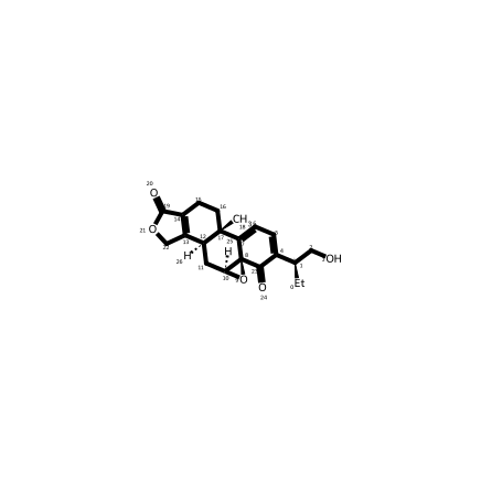 CC[C@H](CO)C1=CC=C2[C@]3(O[C@H]3C[C@H]3C4=C(CC[C@]23C)C(=O)OC4)C1=O